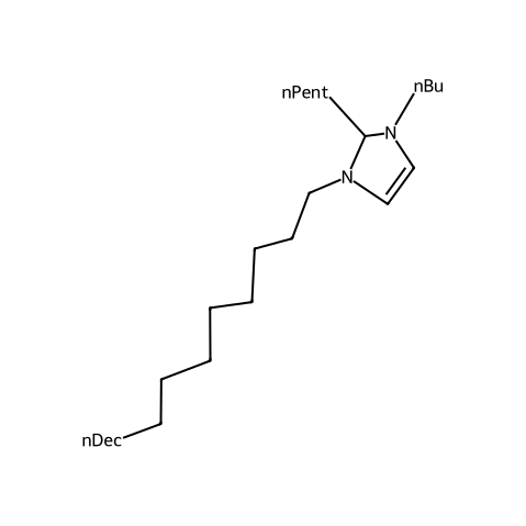 CCCCCCCCCCCCCCCCCCN1C=CN(CCCC)C1CCCCC